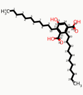 CCCCCCCCCCCc1c(O)cc(C(=O)O)c(CCCCCCCCCCC)c1C(=O)O